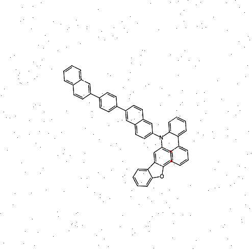 c1ccc(-c2ccccc2N(c2ccc3cc(-c4ccc(-c5ccc6ccccc6c5)cc4)ccc3c2)c2ccc3oc4ccccc4c3c2)cc1